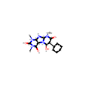 CCCCn1c(=O)c(-c2ccccc2)c(O)n2c3c(=O)n(C)c(=O)n(C)c3nc12